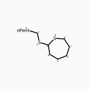 CCCCCCSC1CCCCCS1